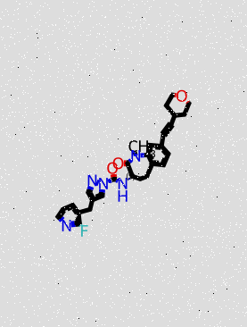 CN1C(=O)[C@@H](NC(=O)n2cc(Cc3cccnc3F)cn2)CCc2ccc(C#CC3CCOCC3)cc21